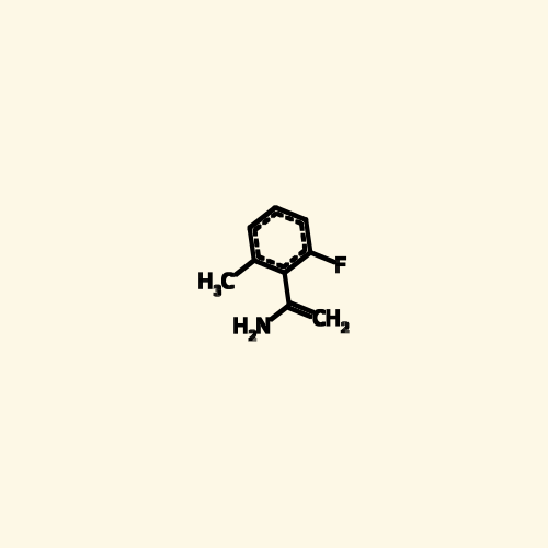 C=C(N)c1c(C)cccc1F